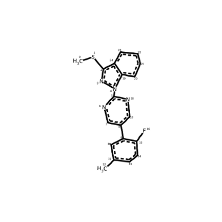 CSc1nn(-c2ncc(-c3cc(C)ccc3F)cn2)c2c[c]ccc12